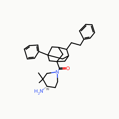 CC1(C)CN(C(=O)C23CC4CC(c5ccccc5)(CC(C2)C4CCc2ccccc2)C3)CC[C@@H]1N